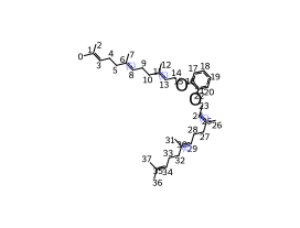 CC(C)=CCC/C(C)=C/CC/C(C)=C/COc1ccccc1OC/C=C(\C)CC/C=C(\C)CCC=C(C)C